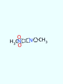 Cc1ccc(N2CC3CC(C2)C2C4CC(C(=O)N(C)C4=O)C32)cc1